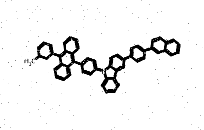 CC1C=CC=C(c2c3ccccc3c(-c3ccc(-n4c5ccccc5c5cc(-c6ccc(-c7ccc8ccccc8c7)cc6)ccc54)cc3)c3ccccc23)C1